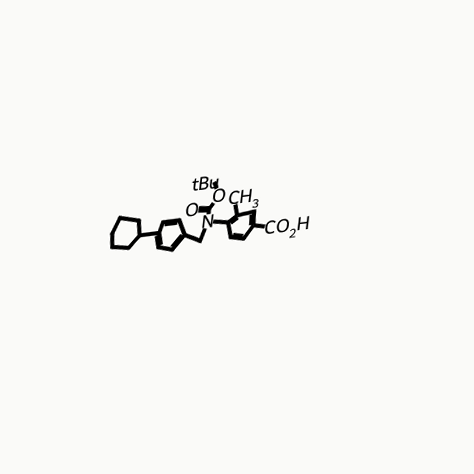 Cc1cc(C(=O)O)ccc1N(Cc1ccc(C2CCCCC2)cc1)C(=O)OC(C)(C)C